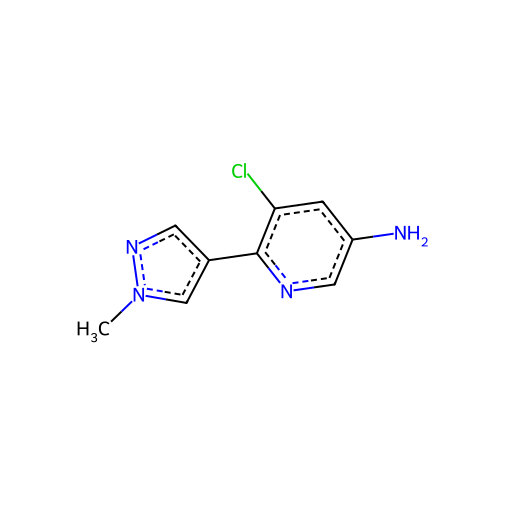 Cn1cc(-c2ncc(N)cc2Cl)cn1